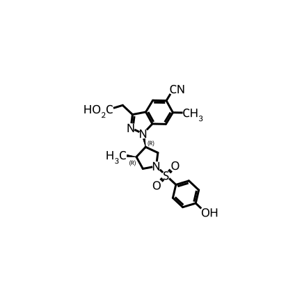 Cc1cc2c(cc1C#N)c(CC(=O)O)nn2[C@H]1CN(S(=O)(=O)c2ccc(O)cc2)C[C@H]1C